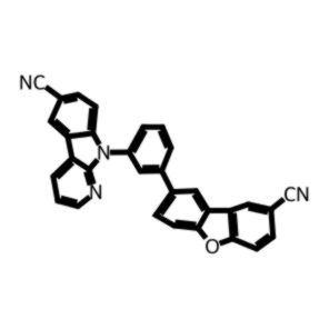 N#Cc1ccc2oc3ccc(-c4cccc(-n5c6ccc(C#N)cc6c6cccnc65)c4)cc3c2c1